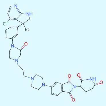 CCC1(c2cccc(N3CCN(CCCN4CCN(c5ccc6c(c5)C(=O)N(C5CCC(=O)NC5=O)C6=O)CC4)CC3=O)c2)CNc2nccc(Cl)c21